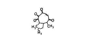 CCC1C(C)C(=O)C=CC(=O)C(=O)C(=O)C1C